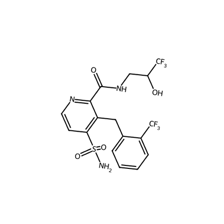 NS(=O)(=O)c1ccnc(C(=O)NCC(O)C(F)(F)F)c1Cc1ccccc1C(F)(F)F